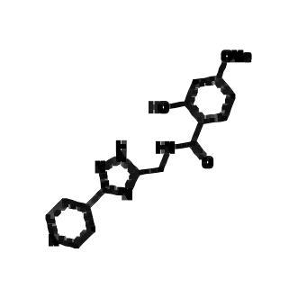 COc1ccc(C(=O)NCc2nc(-c3ccncc3)n[nH]2)c(O)c1